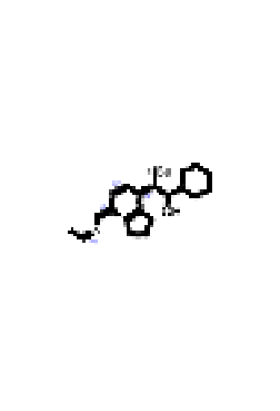 C\C=N/C=C(C)/C=C\C(C1=CCCC1)=C(\C(O)C1CCCCC1)[C@H](C)CC